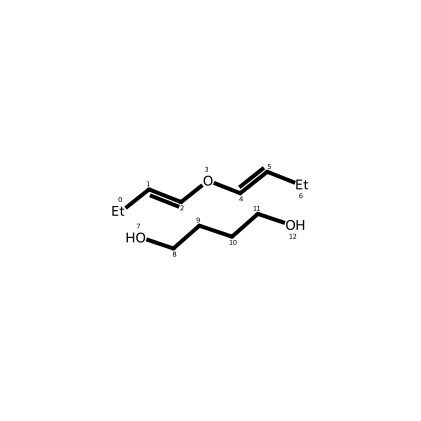 CCC=COC=CCC.OCCCCO